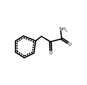 O=C([SiH3])C(=O)Cc1ccccc1